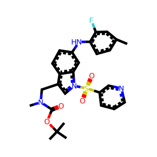 Cc1ccc(Nc2ccc3c(CN(C)C(=O)OC(C)(C)C)cn(S(=O)(=O)c4cccnc4)c3c2)c(F)c1